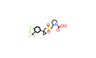 O=C(O)N1CCCC1CS(=O)(=O)CC1(c2ccc(F)c(C(F)(F)F)c2)CC1